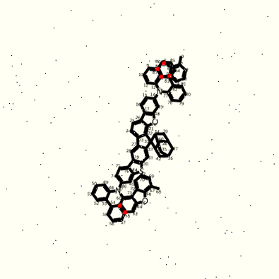 Cc1cccc2c1oc1cccc(N(c3ccc4c(c3)oc3c5c(ccc34)-c3cc4c(cc3C53C5CC6CC(C5)CC3C6)sc3cc(N(c5ccccc5-c5ccccc5)c5cccc6oc7c(C)cccc7c56)ccc34)c3ccccc3-c3ccccc3)c12